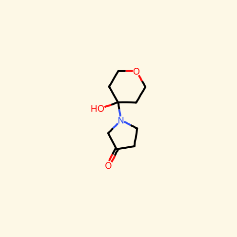 O=C1CCN(C2(O)CCOCC2)C1